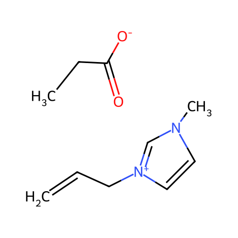 C=CC[n+]1ccn(C)c1.CCC(=O)[O-]